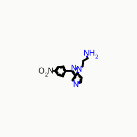 NCCCn1nc(-c2ccc([N+](=O)[O-])cc2)c2cnccc21